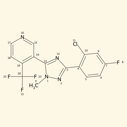 Cn1nc(-c2ccc(F)cc2Cl)nc1-c1cnccc1C(F)(F)F